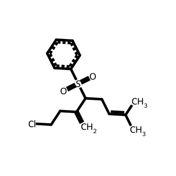 C=C(CCCl)C(CC=C(C)C)S(=O)(=O)c1ccccc1